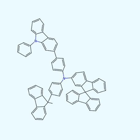 CC1(c2ccc(N(c3ccc(-c4ccc5c6ccccc6n(-c6ccccc6)c5c4)cc3)c3ccc4c(c3)C3(c5ccccc5-c5ccccc53)c3ccccc3-4)cc2)c2ccccc2-c2ccccc21